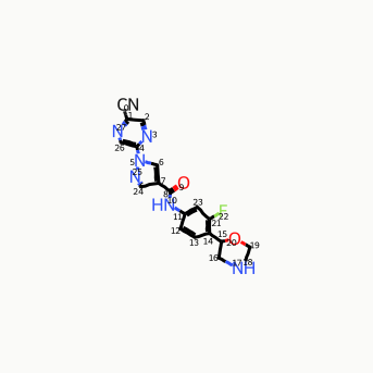 N#Cc1cnc(-n2cc(C(=O)Nc3ccc(C4CNCCO4)c(F)c3)cn2)cn1